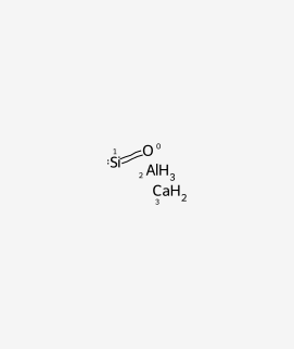 O=[Si].[AlH3].[CaH2]